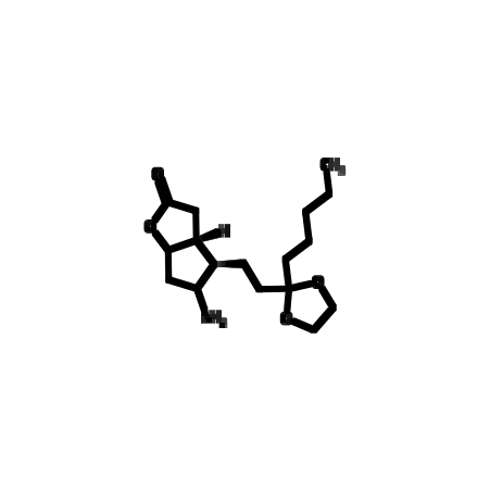 CCCCCC1(CC[C@H]2C(N)CC3OC(=O)C[C@@H]32)OCCO1